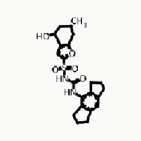 CC1Cc2oc(S(=O)(=O)NC(=O)Nc3c4c(cc5c3CCC5)CCC4)cc2C(O)C1